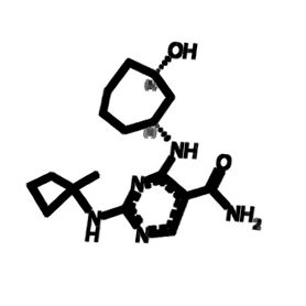 CC1(Nc2ncc(C(N)=O)c(N[C@@H]3CCCC[C@H](O)C3)n2)CCC1